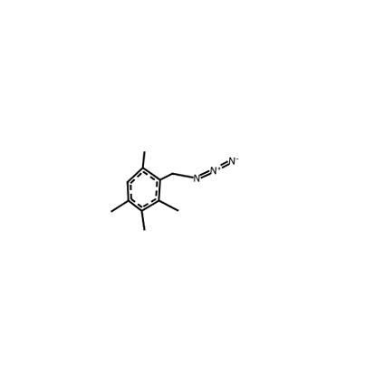 Cc1cc(C)c(CN=[N+]=[N-])c(C)c1C